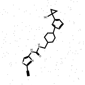 C#Cc1nc(NC(=O)NCC2CCC(c3cccc(C4(C#N)CC4)c3)CC2)cs1